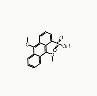 COc1c2ccccc2c(OC)c2c(S(=O)(=O)O)cccc12